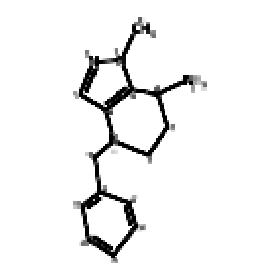 Cn1ncc2c1C(N)CCN2Cc1ccccc1